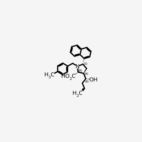 C=CC[C@@H](O)[C@@H]1C[C@@H](c2cccc3ccccc23)N(Cc2ccc(C)cc2)[C@H]1C(=O)O